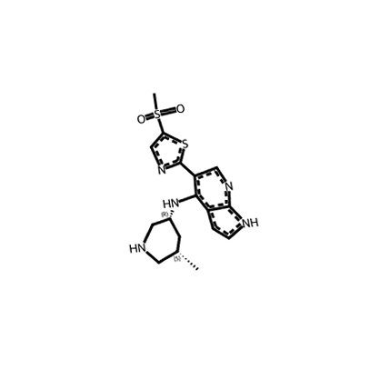 C[C@@H]1CNC[C@H](Nc2c(-c3ncc(S(C)(=O)=O)s3)cnc3[nH]ccc23)C1